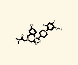 COc1cc(N2CCC(c3nnc4n3-c3ccc(Cl)cc3CN(CC(=O)N(C)C)C4)CC2)c(F)cc1F